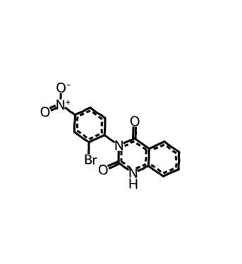 O=c1[nH]c2ccccc2c(=O)n1-c1ccc([N+](=O)[O-])cc1Br